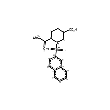 COC(=O)C1CCC(C(=O)O)CN1S(=O)(=O)c1ccc2ccccc2c1